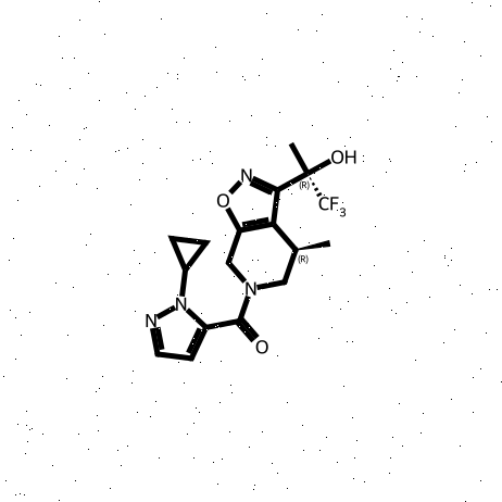 C[C@H]1CN(C(=O)c2ccnn2C2CC2)Cc2onc([C@@](C)(O)C(F)(F)F)c21